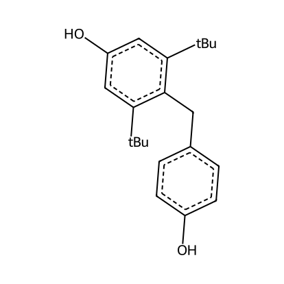 CC(C)(C)c1cc(O)cc(C(C)(C)C)c1Cc1ccc(O)cc1